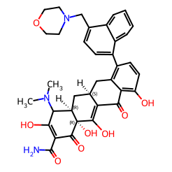 CN(C)C1C(O)=C(C(N)=O)C(=O)[C@]2(O)C(O)=C3C(=O)c4c(O)ccc(-c5ccc(CN6CCOCC6)c6ccccc56)c4C[C@@H]3C[C@H]12